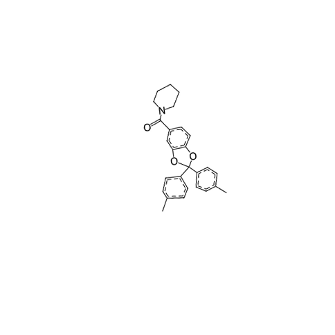 Cc1ccc(C2(c3ccc(C)cc3)Oc3ccc(C(=O)N4CCCCC4)cc3O2)cc1